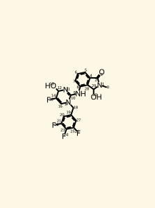 CN1C(=O)c2cccc(NC3=NC(O)C(F)=CN3Cc3cc(F)c(F)c(F)c3)c2C1O